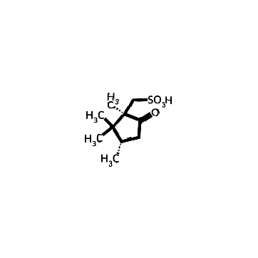 C[C@H]1CC(=O)[C@](C)(CS(=O)(=O)O)C1(C)C